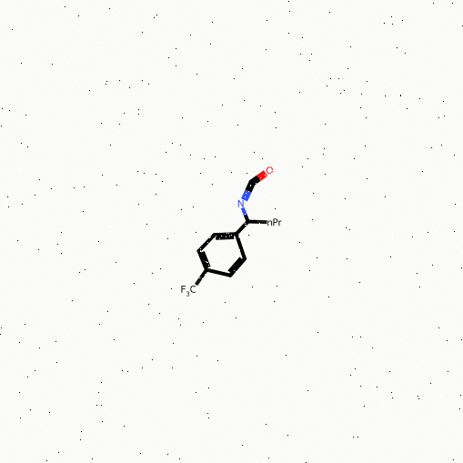 CCCC(N=C=O)c1ccc(C(F)(F)F)cc1